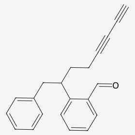 C#CC#CCCC(Cc1ccccc1)c1ccccc1C=O